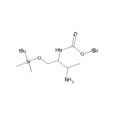 CC(N)C(CO[Si](C)(C)C(C)(C)C)NC(=O)OC(C)(C)C